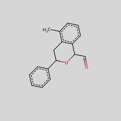 Cc1cccc2c1CC(c1ccccc1)OC2C=O